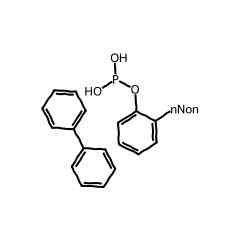 CCCCCCCCCc1ccccc1OP(O)O.c1ccc(-c2ccccc2)cc1